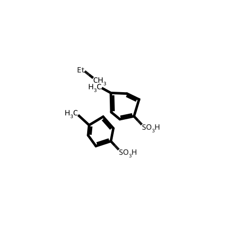 CCC.Cc1ccc(S(=O)(=O)O)cc1.Cc1ccc(S(=O)(=O)O)cc1